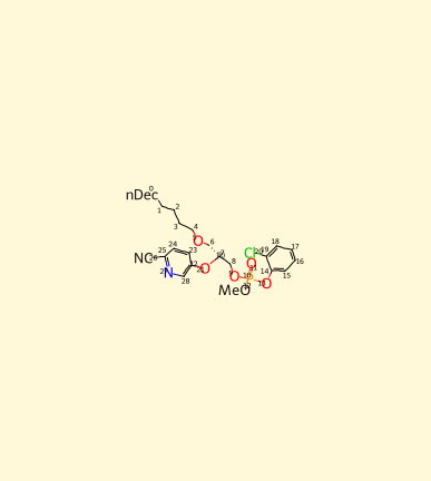 CCCCCCCCCCCCCCOC[C@H](COP(=O)(OC)Oc1ccccc1Cl)Oc1ccc(C#N)nc1